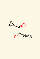 CNC(=O)C(=O)C1CC1